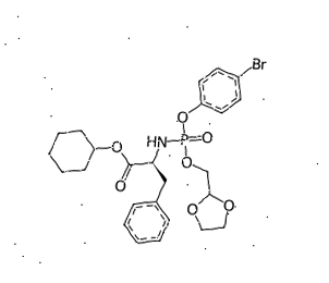 O=C(OC1CCCCC1)[C@H](Cc1ccccc1)NP(=O)(OCC1OCCO1)Oc1ccc(Br)cc1